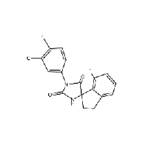 O=C1NC2(CCc3cccc(F)c32)C(=O)N1c1ccc(F)c(Cl)c1